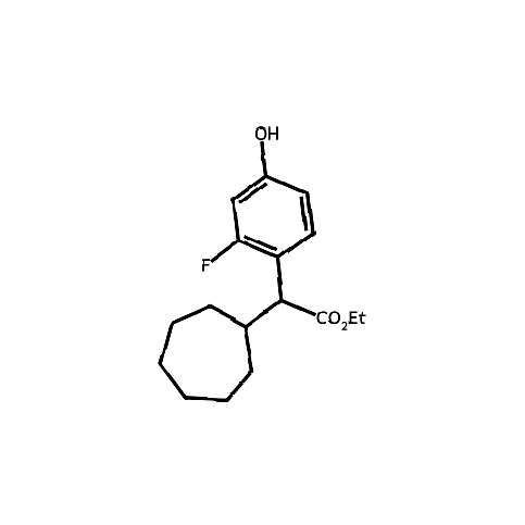 CCOC(=O)C(c1ccc(O)cc1F)C1CCCCCC1